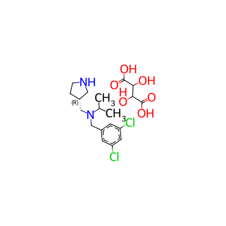 CC(C)N(Cc1cc(Cl)cc(Cl)c1)C[C@@H]1CCNC1.O=C(O)C(O)C(O)C(=O)O